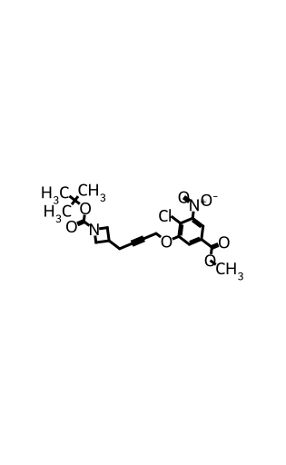 COC(=O)c1cc(OCC#CCC2CN(C(=O)OC(C)(C)C)C2)c(Cl)c([N+](=O)[O-])c1